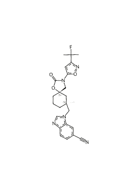 CC(C)(F)c1cc(N2C[C@@]3(CCC[C@](C)(Cn4cnc5ccc(C#N)cc54)C3)OC2=O)on1